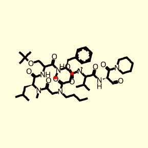 CCCCN(CC(=O)N(C)[C@@H](CC(C)C)C(=O)NC(COC(C)(C)C)C(=O)N(C)[C@@H](Cc1ccccc1)C(=O)N(C)C(C(=O)N[C@@H](C=O)C(=O)N1CCCCC1)C(C)C)C(=O)C[C@@H](C)O